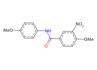 COc1ccc(NC(=O)c2ccc(OC)c([N+](=O)[O-])c2)cc1